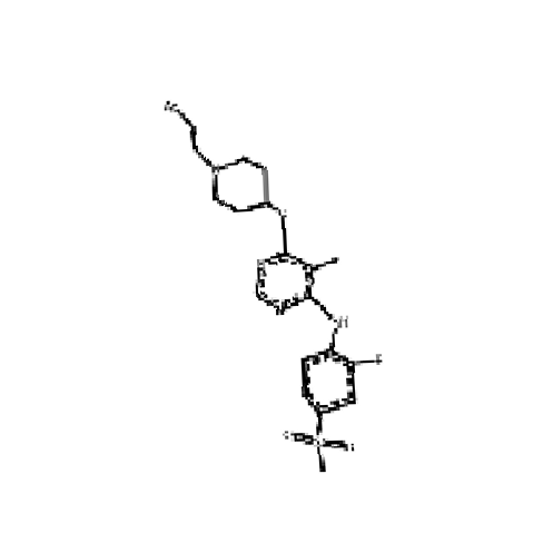 CC(=O)CCN1CCC(Oc2ncnc(Nc3ccc(S(C)(=O)=O)cc3F)c2C)CC1